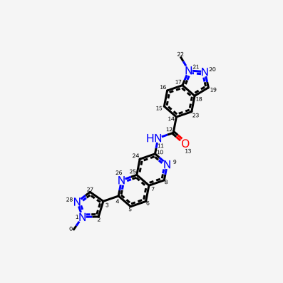 Cn1cc(-c2ccc3cnc(NC(=O)c4ccc5c(cnn5C)c4)cc3n2)cn1